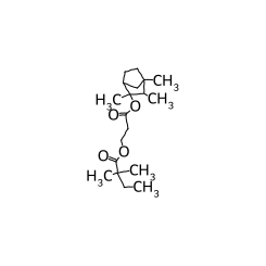 CCC(C)(C)C(=O)OCCC(=O)OC1(C)C2CCC(C)(C2)C1C